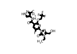 CCn1c(CO)nn(-c2nc(OCC(F)(F)F)c(C(=O)Nc3c[nH]nc3C)cc2F)c1=O